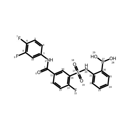 O=C(Nc1ccc(F)c(F)c1)c1ccc(F)c(S(=O)(=O)Nc2ccccc2B(O)O)c1